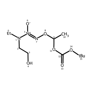 CCN(CCO)[N+]([O-])=NOC(C)OC(=O)OC(C)(C)C